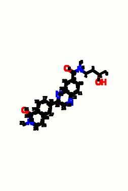 C[C@@H](O)CCN(C)C(=O)c1ccc2ncc(-c3ccc4c(=O)n(C)ccc4c3)nc2c1